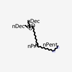 CCCCC/C=C\C/C=C\CCCCCCCCN(CCC)CCCCCCCCCC(=O)ON(CCCCCCCCCCCC)CCCCCCCCCCCC